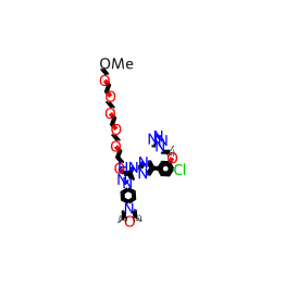 COCCOCCOCCOCCOCCOCCCOc1nn(C2CCC(N3C[C@@H](C)O[C@@H](C)C3)CC2)cc1Nc1ncc(-c2ccc(Cl)c(O[C@@H](C)Cn3cnnn3)c2)cn1